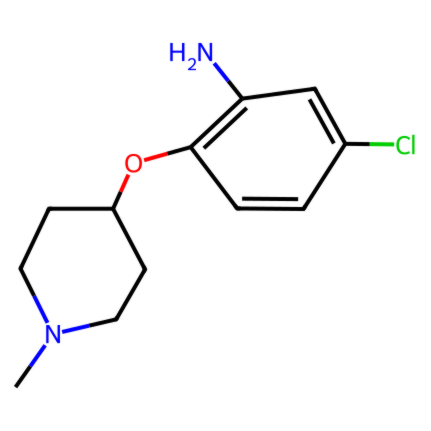 CN1CCC(Oc2ccc(Cl)cc2N)CC1